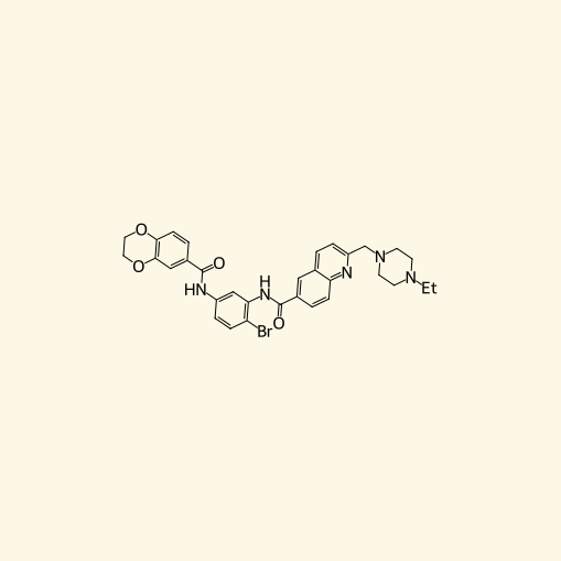 CCN1CCN(Cc2ccc3cc(C(=O)Nc4cc(NC(=O)c5ccc6c(c5)OCCO6)ccc4Br)ccc3n2)CC1